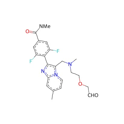 CNC(=O)c1cc(F)c(-c2nc3cc(C)ccn3c2CN(C)CCOCC=O)c(F)c1